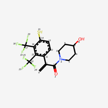 C=C(C(=O)N1CCC(O)CC1)c1ccc(S)c(C(F)(F)F)c1C(F)(F)F